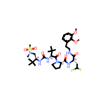 COc1cccc(CCNC(=O)[C@H](CC(F)F)NC(=O)[C@@H]2CCCN2C(=O)[C@@H](NC(=O)N[C@H](CN(C)S(C)(=O)=O)C(C)(C)C)C(C)(C)C)c1OC